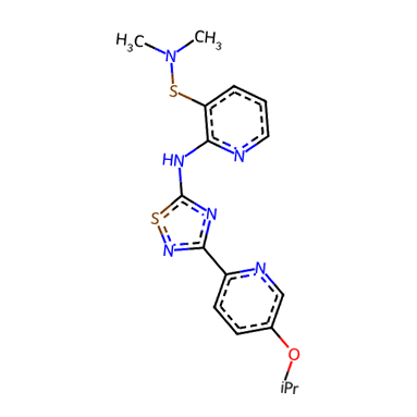 CC(C)Oc1ccc(-c2nsc(Nc3ncccc3SN(C)C)n2)nc1